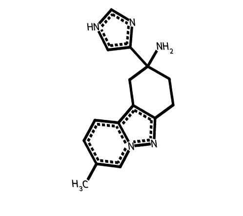 Cc1ccc2c3c(nn2c1)CCC(N)(c1c[nH]cn1)C3